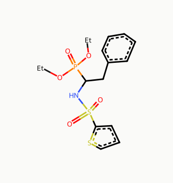 CCOP(=O)(OCC)C(Cc1ccccc1)NS(=O)(=O)c1cccs1